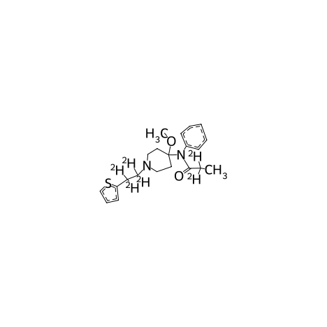 [2H]C([2H])(C)C(=O)N(c1ccccc1)C1(OC)CCN(C([2H])([2H])C([2H])([2H])c2cccs2)CC1